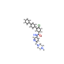 CN1CCN(Cc2ccc(NC(=O)c3ccc(Cl)c(-c4ccc(-c5ccccc5)cc4)c3)cn2)CC1